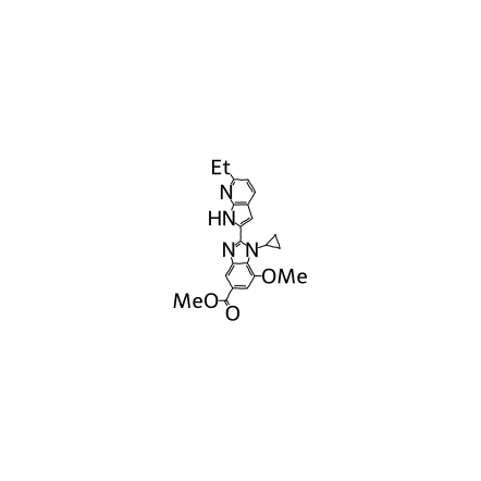 CCc1ccc2cc(-c3nc4cc(C(=O)OC)cc(OC)c4n3C3CC3)[nH]c2n1